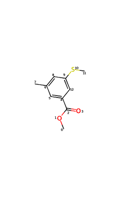 COC(=O)c1cc(C)cc(SC)c1